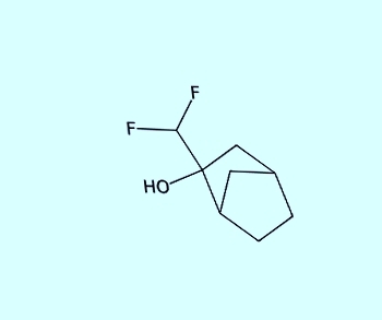 OC1(C(F)F)CC2CCC1C2